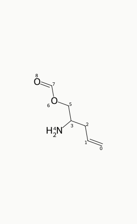 C=CCC(N)COC=O